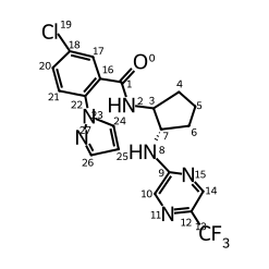 O=C(NC1CCC[C@@H]1Nc1cnc(C(F)(F)F)cn1)c1cc(Cl)ccc1-n1cccn1